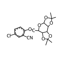 CC1(C)OC2OC(COc3ccc(Cl)cc3C#N)C3OC(C)(C)OC3C2O1